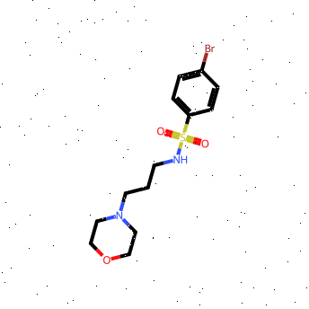 O=S(=O)(NCCCN1CCOCC1)c1ccc(Br)cc1